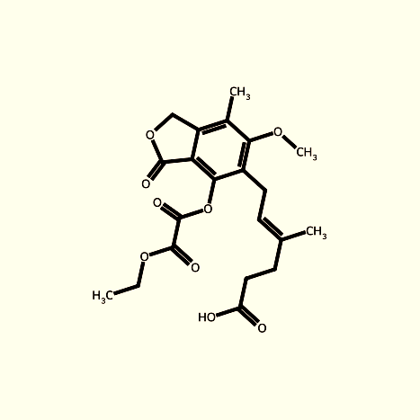 CCOC(=O)C(=O)Oc1c(C/C=C(\C)CCC(=O)O)c(OC)c(C)c2c1C(=O)OC2